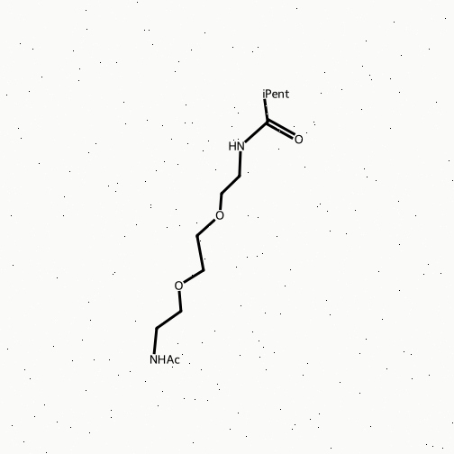 CCCC(C)C(=O)NCCOCCOCCNC(C)=O